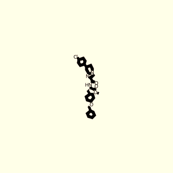 COC(=O)[C@H](Cc1ccc(OCc2ccccc2)cc1)NC(=O)c1cn2ccc(-c3ccc(Cl)cc3)cc2n1